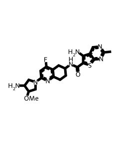 COC1CN(c2cc(F)c3c(n2)CCC(NC(=O)c2sc4nc(C)ncc4c2N)C3)CC1N